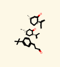 CC(C)(C)c1ccc(CCC=O)cc1.CC(C)[C@H]1CC[C@H](C)CC1=O.CC(C)[C@H]1CC[C@H](C)CC1=O